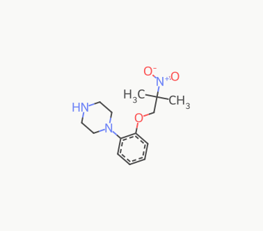 CC(C)(COc1ccccc1N1CCNCC1)[N+](=O)[O-]